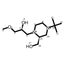 COC[C@@H](O)CN1CCN(C(C)(C)C)C[C@H]1CO